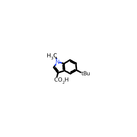 Cn1cc(C(=O)O)c2cc(C(C)(C)C)ccc21